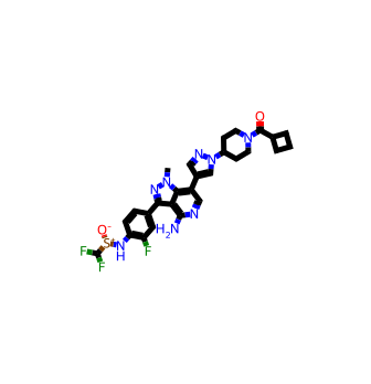 Cn1nc(-c2ccc(N[S+]([O-])C(F)F)c(F)c2)c2c(N)ncc(-c3cnn(C4CCN(C(=O)C5CCC5)CC4)c3)c21